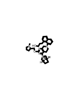 CN1CCCC1COc1nc2c(c(N3C[C@H]4CC[C@@H](C3)N4C(=O)O)n1)CCN(c1cccc3cccc(CCCO)c13)C2